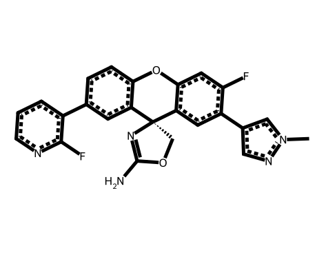 Cn1cc(-c2cc3c(cc2F)Oc2ccc(-c4cccnc4F)cc2[C@@]32COC(N)=N2)cn1